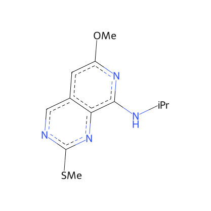 COc1cc2cnc(SC)nc2c(NC(C)C)n1